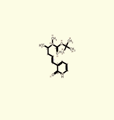 CC(C/C=C/c1ccc[nH]c1=O)N(C)C(=O)OC(C)(C)C